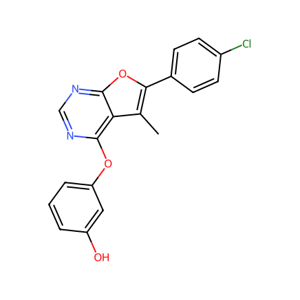 Cc1c(-c2ccc(Cl)cc2)oc2ncnc(Oc3cccc(O)c3)c12